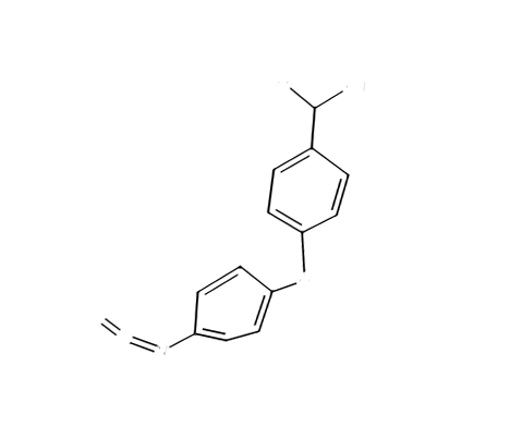 CC(O)c1ccc(Oc2ccc(N=C=O)cc2)cc1